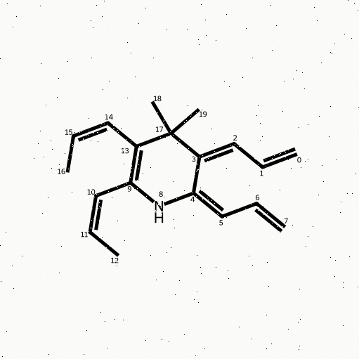 C=C/C=C1\C(=C/C=C)NC(/C=C\C)=C(/C=C\C)C1(C)C